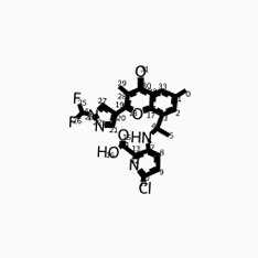 Cc1cc(C(C)Nc2ccc(Cl)nc2C(=O)O)c2oc(-c3cnn(C(F)F)c3)c(C)c(=O)c2c1